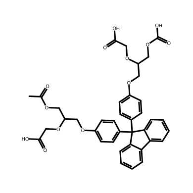 CC(=O)OCC(COc1ccc(C2(c3ccc(OCC(COC(=O)O)OCC(=O)O)cc3)c3ccccc3-c3ccccc32)cc1)OCC(=O)O